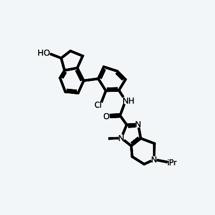 CC(C)N1CCc2c(nc(C(=O)Nc3cccc(-c4cccc5c4CCC5O)c3Cl)n2C)C1